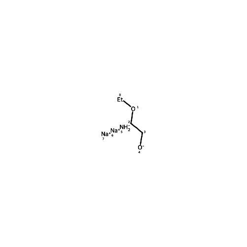 CCOCC[O-].[NH2-].[Na+].[Na+]